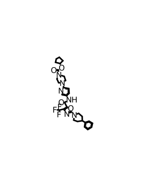 O=C(Nc1ccc(N2CCN(C(=O)OC3CCCC3)CC2)nc1)c1oc(N2CCC(c3ccccc3)CC2)nc1C(F)(F)F